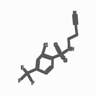 N#CCCNS(=O)(=O)c1ccc(C(F)(F)F)cc1Cl